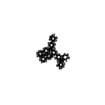 C1=CC2=CC(C=C1)c1cc(-c3ccc(N(C4=CC=C5c6ccccc6C6(c7ccccc7-c7ccccc76)C5C4)C4C=CC(c5ccccc5)=CC4)cc3)ccc1N2c1ccccc1